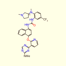 CNc1ncnc(-c2cccnc2Oc2ccc(NC(=O)Nc3cc(C(F)(F)F)ccc3N(C)[C@H]3CCN(C)C3)c3ccccc23)n1